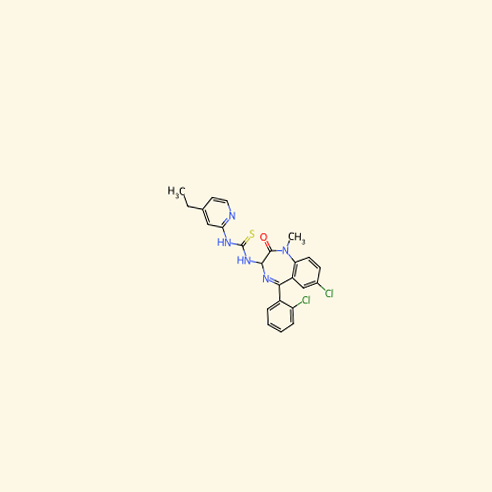 CCc1ccnc(NC(=S)NC2N=C(c3ccccc3Cl)c3cc(Cl)ccc3N(C)C2=O)c1